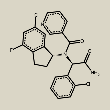 NC(=O)[C@@H](c1ccccc1Cl)N(C(=O)c1cccnc1)[C@@H]1CCc2c(F)cc(Cl)cc21